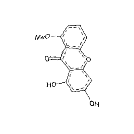 COc1cccc2oc3cc(O)cc(O)c3c(=O)c12